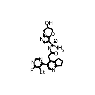 CCc1c(F)ncnc1-c1cnc2c(c1CC(=O)N=S(N)(=O)c1cnn3c1OCC(O)C3)CCC2